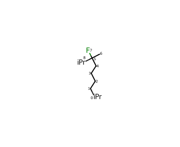 CC(C)CCCCC(C)(F)C(C)C